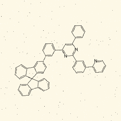 c1ccc(-c2cc(-c3cccc(-c4ccc5c(c4)-c4ccccc4C54c5ccccc5-c5ccccc54)c3)nc(-c3cccc(-c4ccccn4)c3)n2)cc1